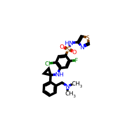 CN(C)Cc1ccccc1C1(Nc2cc(F)c(S(=O)(=O)Nc3cscn3)cc2Cl)CC1